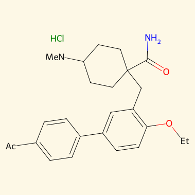 CCOc1ccc(-c2ccc(C(C)=O)cc2)cc1CC1(C(N)=O)CCC(NC)CC1.Cl